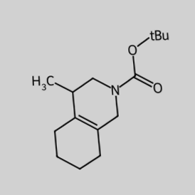 CC1CN(C(=O)OC(C)(C)C)CC2=C1CCCC2